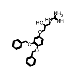 N=C(N)NCC(O)COc1ccc(OCc2ccccc2)c(OCc2ccccc2)c1